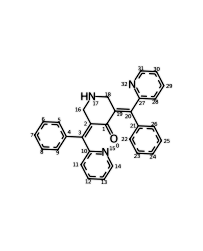 O=C1C(=C(c2ccccc2)c2ccccn2)CNCC1=C(c1ccccc1)c1ccccn1